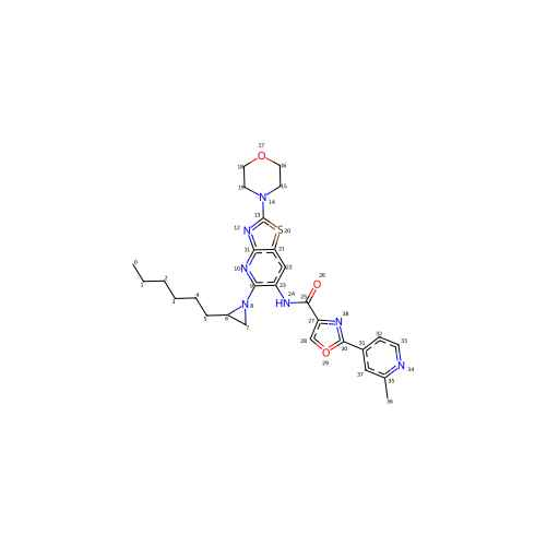 CCCCCCC1CN1c1nc2nc(N3CCOCC3)sc2cc1NC(=O)c1coc(-c2ccnc(C)c2)n1